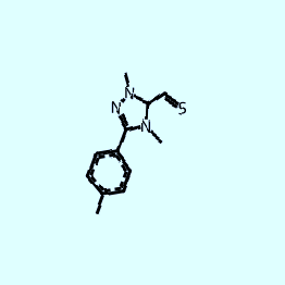 Cc1ccc(C2=NN(C)C(C=S)N2C)cc1